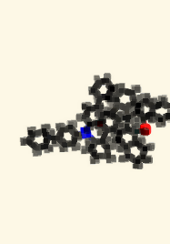 c1ccc(-c2ccc(N(c3ccc(-c4ccccc4)cc3)c3ccccc3-c3ccc4c(c3)C3(c5ccccc5-4)c4ccc5ccccc5c4Oc4c3ccc3ccccc43)cc2)cc1